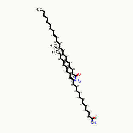 C=C.CCCCCCCCC=CCCCCCCCCCCCC(N)=O.CCCCCCCCC=CCCCCCCCCCCCC(N)=O